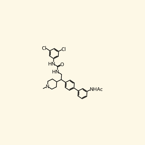 CC(=O)Nc1cccc(-c2ccc(C(CNC(=O)Nc3cc(Cl)cc(Cl)c3)C3CCN(C)CC3)cc2)c1